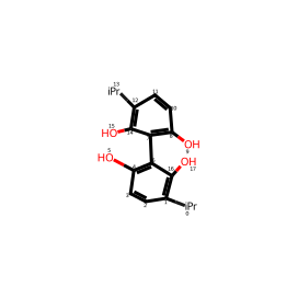 CC(C)c1ccc(O)c(-c2c(O)ccc(C(C)C)c2O)c1O